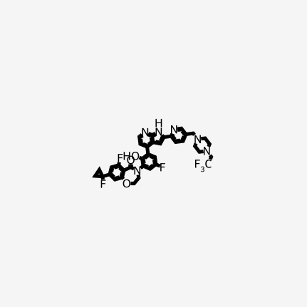 O=C1c2c(F)cc(C3(F)CC3)cc2OCCN1c1cc(F)cc(-c2ccnc3[nH]c(-c4ccc(CN5CCN(CC(F)(F)F)CC5)cn4)cc23)c1O